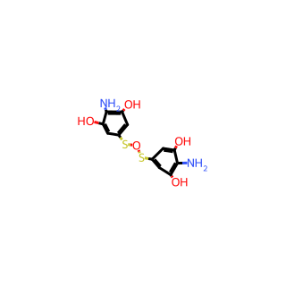 Nc1c(O)cc(SOSc2cc(O)c(N)c(O)c2)cc1O